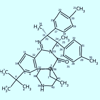 CCOc1cc(C(C)(C)C)ccc1C1=N[C@@](C)(c2ccc(C)cc2)[C@@](C)(c2ccc(C)cc2)N1C(=O)N1CCNCC1